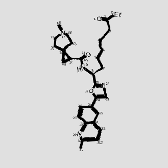 CCC(=O)CCCCC[C@H](NC(=O)[C@H]1CC12CCN(C)CC2)c1ncc(-c2ccc3nc(C)ccc3c2)o1